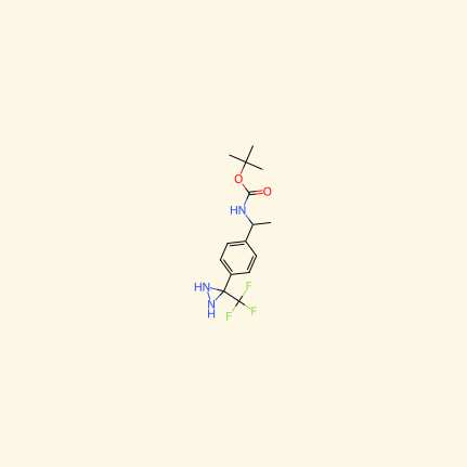 CC(NC(=O)OC(C)(C)C)c1ccc(C2(C(F)(F)F)NN2)cc1